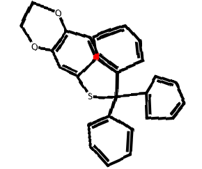 c1ccc(C(Sc2ccc3c(c2)OCCO3)(c2ccccc2)c2ccccc2)cc1